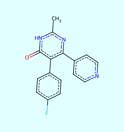 Cc1nc(-c2ccncc2)c(-c2ccc(F)cc2)c(=O)[nH]1